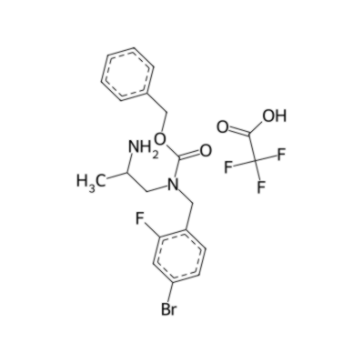 CC(N)CN(Cc1ccc(Br)cc1F)C(=O)OCc1ccccc1.O=C(O)C(F)(F)F